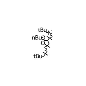 CCCCOC(=O)C(CC(C)(C)SCC(C)(C)CC(C)(C)C)C(C)(C)SN(C)CC(C)(C)C